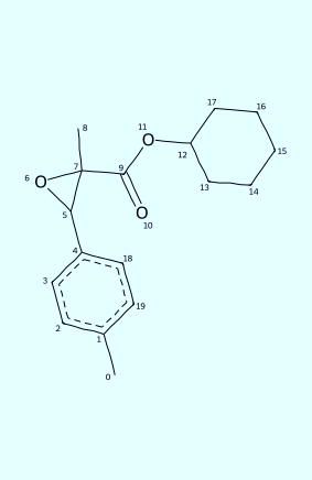 Cc1ccc(C2OC2(C)C(=O)OC2CCCCC2)cc1